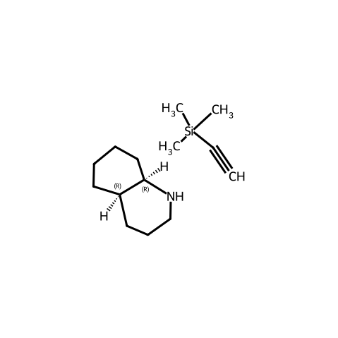 C#C[Si](C)(C)C.C1CC[C@H]2NCCC[C@H]2C1